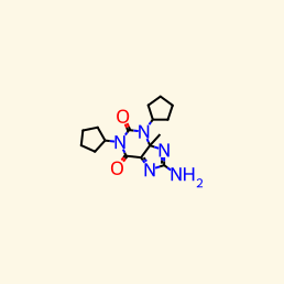 CC12N=C(N)N=C1C(=O)N(C1CCCC1)C(=O)N2C1CCCC1